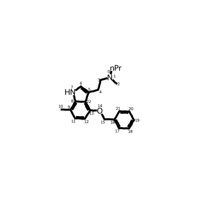 CCCN(C)CCc1c[nH]c2c(C)ccc(OCc3ccccc3)c12